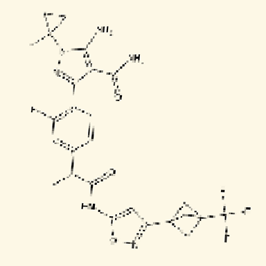 CC(C(=O)Nc1cc(C23CC(C(F)(F)F)(C2)C3)no1)c1ccc(-c2nn(C3(C)CC3)c(N)c2C(N)=O)c(F)c1